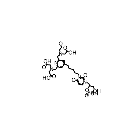 O=CCN(CC(=O)O)Cc1cc(CCCCCn2c(=O)ccn(CC(CO)O[PH](=O)O)c2=O)cc(CN(CC(=O)O)CC(=O)O)n1